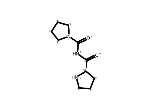 O=C(NC(=O)N1CCCC1)[C@H]1CCCN1